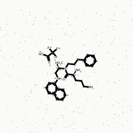 NCCC[C@H](N)C(=O)N(CCCc1ccccc1)[C@@H](CNc1cccc2ccccc12)C(=O)O.O=C(O)C(F)(F)F